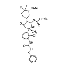 CO[C@@H]1C[C@H](N2C(=O)C[C@@](C)(c3cccc(NC(=O)OCc4ccccc4)c3Cl)N/C2=N\C(=O)OC(C)(C)C)CCC1(F)F